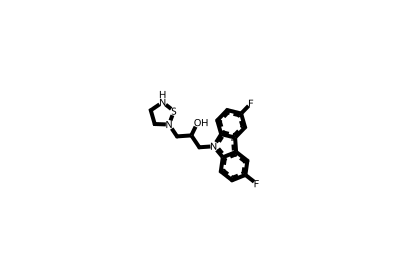 OC(CN1CCNS1)Cn1c2ccc(F)cc2c2cc(F)ccc21